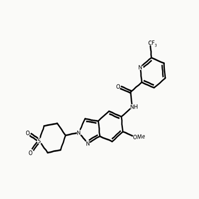 COc1cc2nn(C3CCS(=O)(=O)CC3)cc2cc1NC(=O)c1cccc(C(F)(F)F)n1